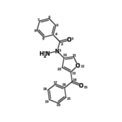 NN(C(=O)c1ccccc1)c1coc(C(=O)c2ccccc2)c1